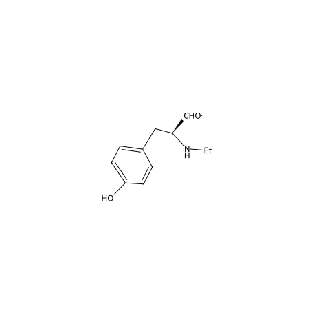 CCN[C@H]([C]=O)Cc1ccc(O)cc1